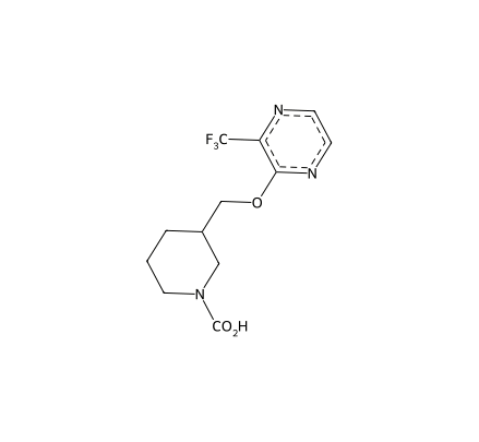 O=C(O)N1CCCC(COc2nccnc2C(F)(F)F)C1